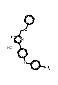 Cl.Nc1ccc(Oc2ccc(-c3c[nH]c(COc4ccccc4)n3)cc2)cc1